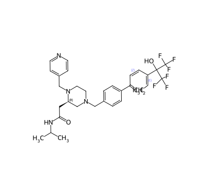 C=C(/C=C\C(=C/C)C(O)(C(F)(F)F)C(F)(F)F)c1ccc(CN2CCN(Cc3ccncc3)[C@H](CC(=O)NC(C)C)C2)cc1